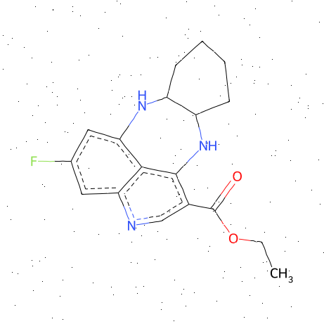 CCOC(=O)c1cnc2cc(F)cc3c2c1NC1CCCCC1N3